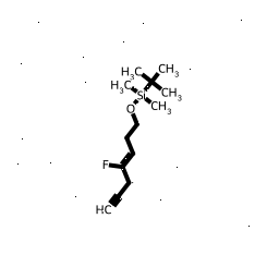 C#C[CH]C(F)=CCCO[Si](C)(C)C(C)(C)C